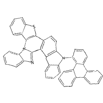 c1ccc2c(c1)nc1c3c(ccc4c3c3ccccc3n4-c3cccc4c5ccccc5c5ccccc5c34)c3sc4ccccc4c3n21